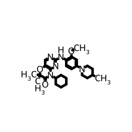 COc1cc(N2CCC(C)CC2)ccc1Nc1ncc2c(n1)N(C1CCCCC1)C(=O)C(C)(C)O2